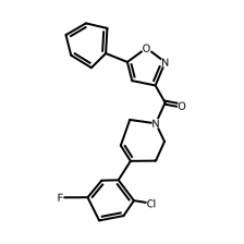 O=C(c1cc(-c2ccccc2)on1)N1CC=C(c2cc(F)ccc2Cl)CC1